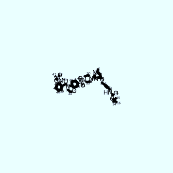 Cc1cc(OCC#CCNC(=O)OC(C)(C)C)nc(N2CCN(S(=O)(=O)c3ccc4c(c3)OCCN4C(=O)c3ccccc3N(C)S(C)(=O)=O)CC2)n1